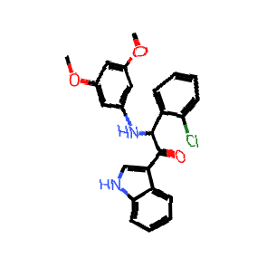 COc1cc(NC(C(=O)c2c[nH]c3ccccc23)c2ccccc2Cl)cc(OC)c1